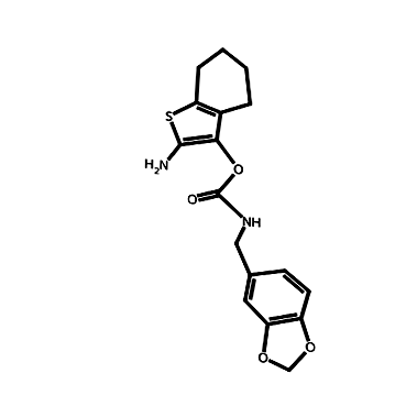 Nc1sc2c(c1OC(=O)NCc1ccc3c(c1)OCO3)CCCC2